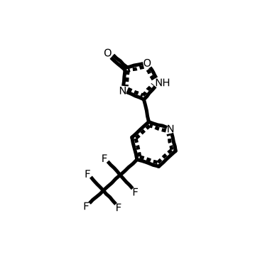 O=c1nc(-c2cc(C(F)(F)C(F)(F)F)ccn2)[nH]o1